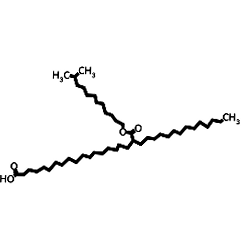 CCCCCCCCCCCCCCC(CCCCCCCCCCCCCCCCCC(=O)O)C(=O)OCCCCCCCCCCC(C)C